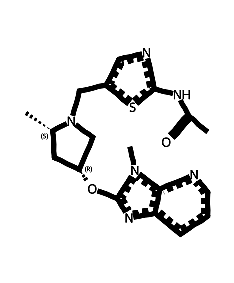 CC(=O)Nc1ncc(CN2C[C@H](Oc3nc4cccnc4n3C)C[C@@H]2C)s1